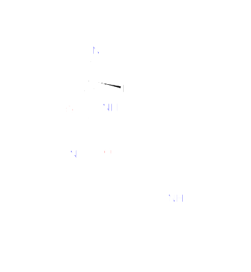 CNc1cccc(-c2cnc(C(=O)N[C@H]3CN4CCC3CC4)o2)c1